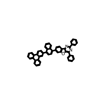 c1ccc(-c2nc(-c3ccccc3)c3oc4cc(-c5ccc(-c6ccc7c8ccccc8c8ccccc8c7c6)c6ccccc56)ccc4c3n2)cc1